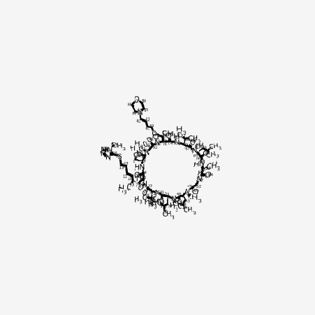 CC[C@@H]1NC(=O)[C@@H]2[C@@H](C(C)CCCCSc3nnnn3C)ON2C(=O)[C@H](C(C)C)N(C)C(=O)[C@H](CC(C)C)N(C)C(=O)[C@H](CC(C)C)N(C)C(=O)CNC(=O)[C@H](C)NC(=O)[C@H](CC(C)C)N(C)C(=O)[C@H](C(C)C)NC(=O)C([C@@H](C)OCCCCN2CCOCC2)N(C)C(=O)[C@@H](C)N(C)C1=O